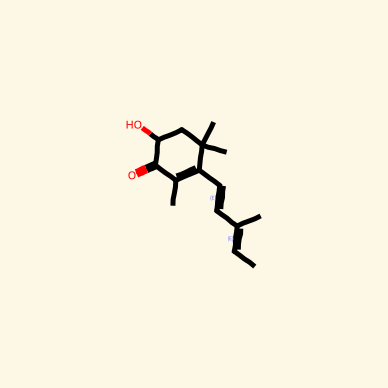 C/C=C(C)/C=C/C1=C(C)C(=O)C(O)CC1(C)C